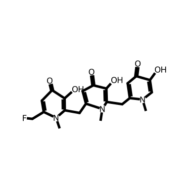 Cn1cc(O)c(=O)cc1Cc1c(O)c(=O)cc(Cc2c(O)c(=O)cc(CF)n2C)n1C